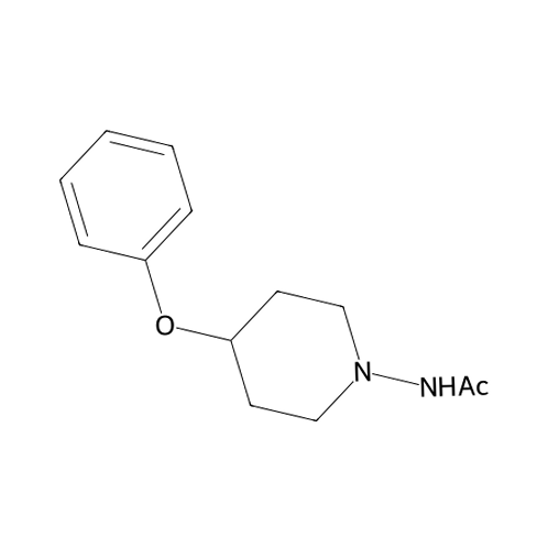 CC(=O)NN1CCC(Oc2ccccc2)CC1